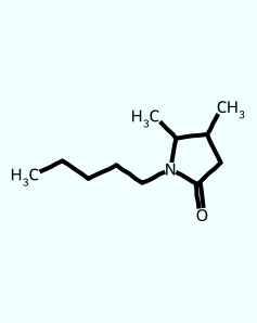 CCCCCN1C(=O)CC(C)C1C